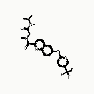 CC(C)NC(=O)CN(C)C(=O)c1ccc2cc(Oc3ccc(C(F)(F)F)cn3)ccc2n1